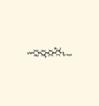 CCCCCCCOc1ccc(-c2ccc(-c3ccc(C4CCC(CCC)CO4)cc3F)cc2)c(F)c1F